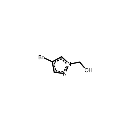 OCn1cc(Br)cn1